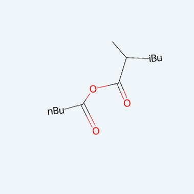 CCCCC(=O)OC(=O)C(C)C(C)CC